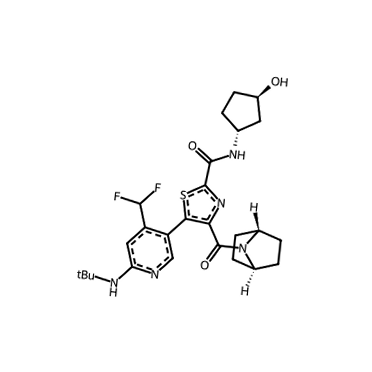 CC(C)(C)Nc1cc(C(F)F)c(-c2sc(C(=O)N[C@@H]3CC[C@@H](O)C3)nc2C(=O)N2[C@H]3CC[C@H]2CC3)cn1